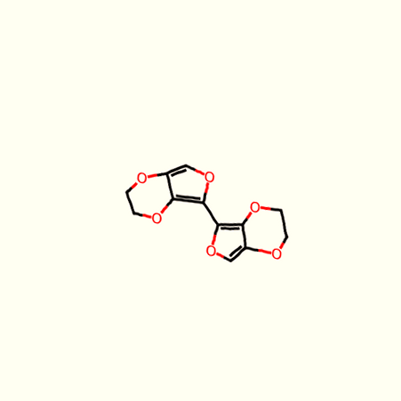 c1oc(-c2occ3c2OCCO3)c2c1OCCO2